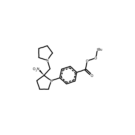 CC(C)(C)OOC(=O)c1ccc(N2CCC[C@@]2(CN2CCCC2)[N+](=O)[O-])cc1